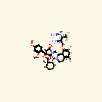 COc1ccc(COC(=O)[C@@]2(C)CCCC[C@H]2C(=O)N2CCc3c(Cl)cc(F)c(OC/C(N)=C(\C(F)F)N(C)N)c3[C@H]2CN2CCCC2=O)c(OC)c1